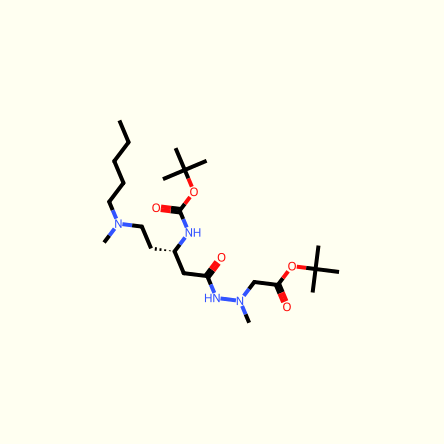 CCCCCN(C)CC[C@@H](CC(=O)NN(C)CC(=O)OC(C)(C)C)NC(=O)OC(C)(C)C